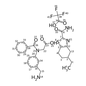 CCC1CCc2sc(C(N)=O)nc2C1.NCc1cccc(N(CC(=O)O)C(=O)c2ccccc2)c1.O=C(O)C(F)(F)F